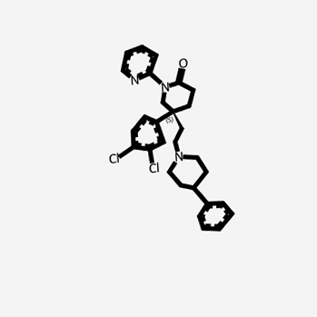 O=C1CC[C@](CCN2CCC(c3ccccc3)CC2)(c2ccc(Cl)c(Cl)c2)CN1c1ccccn1